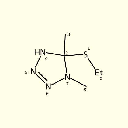 CCSC1(C)NN=NN1C